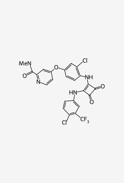 CNC(=O)c1cc(Oc2ccc(Nc3c(Nc4ccc(Cl)c(C(F)(F)F)c4)c(=O)c3=O)c(Cl)c2)ccn1